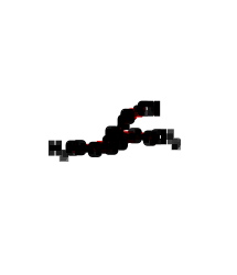 C=CCOCCCCCCOc1ccc2cc(C(=O)Oc3ccc(OC(=O)c4ccc5cc(OCCCCCCOCC=C)ccc5c4)c(C(=O)OCCCCCCCCOc4ccc(-c5ccc(C#N)cc5)cc4)c3)ccc2c1